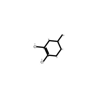 CC1CCC(Cl)=C(Cl)C1